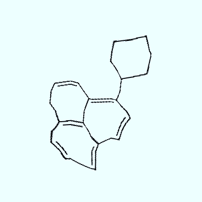 C1=Cc2c(C3CCCCC3)ccc3cccc(c23)C1